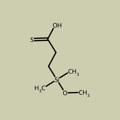 CO[Si](C)(C)CCC(O)=S